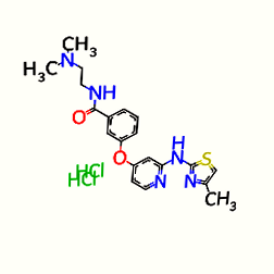 Cc1csc(Nc2cc(Oc3cccc(C(=O)NCCN(C)C)c3)ccn2)n1.Cl.Cl